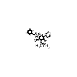 CC1(C)Cc2c(C#N)c(S(=O)(=O)CCc3ccccc3)nc(N3CCOCC3)c2CO1